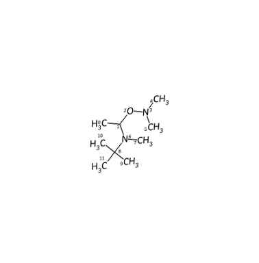 CC(ON(C)C)N(C)C(C)(C)C